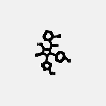 CC(C)(C)c1cc(N2C(=O)C(O)=C(C(=O)c3ccccc3Cl)C2c2ccc(Cl)cc2)no1